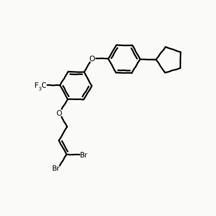 FC(F)(F)c1cc(Oc2ccc(C3CCCC3)cc2)ccc1OCC=C(Br)Br